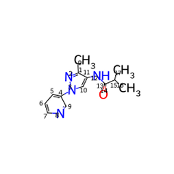 Cc1nn(-c2cccnc2)cc1NC(=O)C(C)C